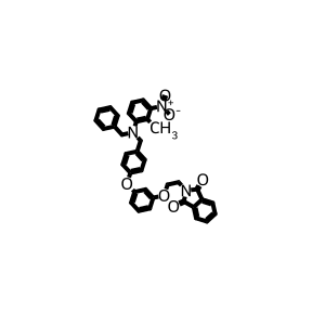 Cc1c(N(Cc2ccccc2)Cc2ccc(Oc3cccc(OCCN4C(=O)c5ccccc5C4=O)c3)cc2)cccc1[N+](=O)[O-]